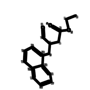 CCOC(=O)CC(C=O)Cc1cccc2ccccc12